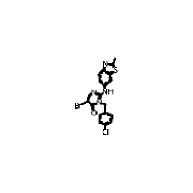 Cc1nc2ccc(Nc3ncc(Br)c(=O)n3Cc3ccc(Cl)cc3)cc2s1